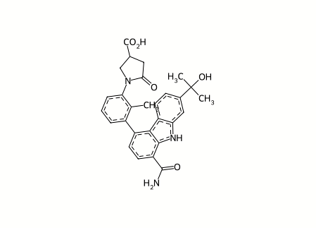 Cc1c(-c2ccc(C(N)=O)c3[nH]c4cc(C(C)(C)O)ccc4c23)cccc1N1CC(C(=O)O)CC1=O